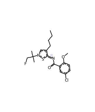 CCCCc1cn(C(C)(C)CF)s/c1=N\C(=O)c1cc(Cl)ccc1OC